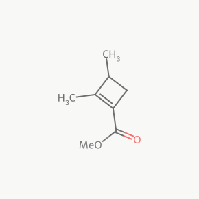 COC(=O)C1=C(C)C(C)C1